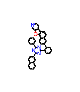 c1ccc(-c2nc(-c3ccc4ccccc4c3)nc(-c3ccccc3-c3ccc4c(ccc5c6ccncc6oc45)c3)n2)cc1